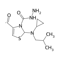 CC(C)CN(C1CC1)C1SC=C([C]=O)N1C(=O)NN